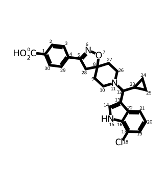 O=C(O)c1ccc(C2=NOC3(CCN(C(c4c[nH]c5c(Cl)cccc45)C4CC4)CC3)C2)cc1